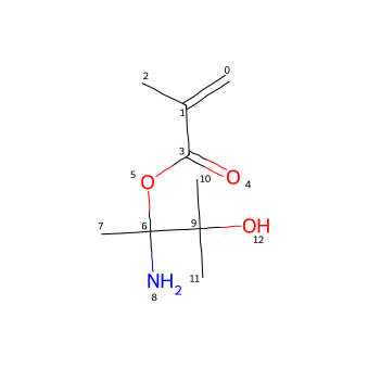 C=C(C)C(=O)OC(C)(N)C(C)(C)O